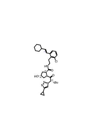 CC(C)(C)[C@@H](C(=O)N1C[C@H](O)C[C@H]1C(=O)NCCc1c(Cl)cccc1/C=C/C1CCCCC1)n1cc(C2CC2)nn1